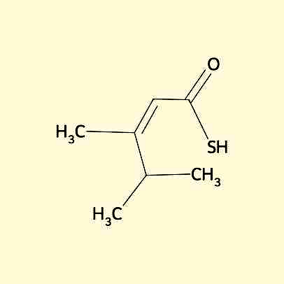 CC(=CC(=O)S)C(C)C